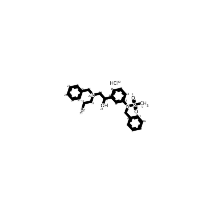 CS(=O)(=O)N(Cc1ccccc1)c1cccc(C(O)CN(CCBr)Cc2ccccc2)c1.Cl